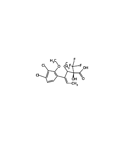 CC=C(c1ccc(Cl)c(Cl)c1OC)C(CC)[C@@](O)(C(=O)O)C(F)(F)F